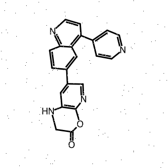 O=C1CNc2cc(-c3ccc4nccc(-c5ccncc5)c4c3)cnc2O1